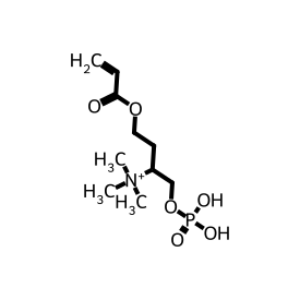 C=CC(=O)OCCC(COP(=O)(O)O)[N+](C)(C)C